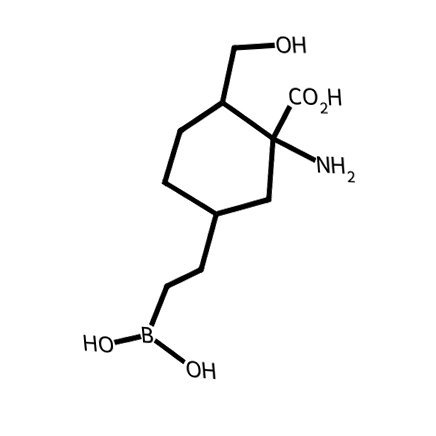 NC1(C(=O)O)CC(CCB(O)O)CCC1CO